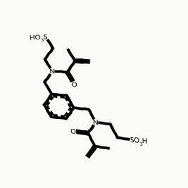 C=C(C)C(=O)N(CCS(=O)(=O)O)Cc1cccc(CN(CCS(=O)(=O)O)C(=O)C(=C)C)c1